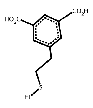 CCSCCc1cc(C(=O)O)cc(C(=O)O)c1